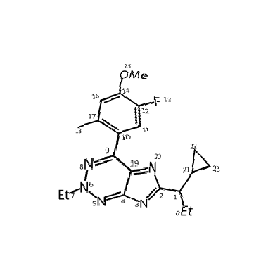 CCC(c1nc2nn(CC)nc(-c3cc(F)c(OC)cc3C)c-2n1)C1CC1